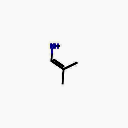 CC(C)=C[NH]